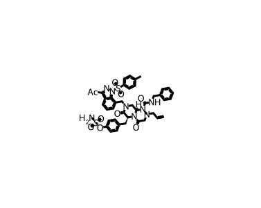 C=CCN1CC(=O)N2[C@@H](Cc3ccc(OS(N)(=O)=O)cc3)C(=O)N(Cc3cccc4c(C(C)=O)nn(S(=O)(=O)c5ccc(C)cc5)c34)C[C@@H]2N1C(=O)NCc1ccccc1